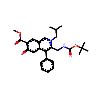 COC(=O)c1cc2cn(CC(C)C)c(CNC(=O)OC(C)(C)C)c(-c3ccccc3)c-2cc1=O